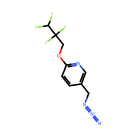 [N-]=[N+]=NCc1ccc(OCC(F)(F)C(F)F)nc1